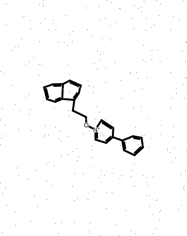 c1ccc(-c2cc[n+](OCCc3cccc4ccccc34)cc2)cc1